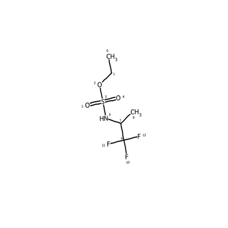 CCOS(=O)(=O)NC(C)C(F)(F)F